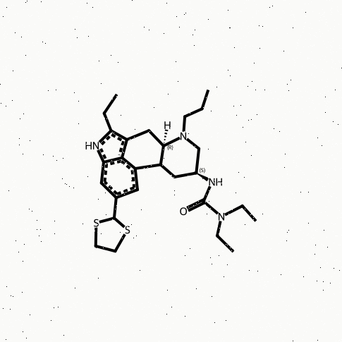 CCCN1C[C@@H](NC(=O)N(CC)CC)CC2c3cc(C4SCCS4)cc4[nH]c(CC)c(c34)C[C@H]21